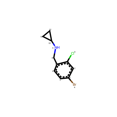 Clc1cc(Br)ccc1CNC1CC1